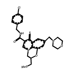 CSCC1Cn2cc(C(=O)NCc3ccc(Cl)cc3)c(=S)c3cc(CN4CCOCC4)cc(c32)O1